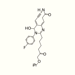 C#C/C=C1\C(=C/CC(N)=O)N=C(CCCCC(=O)COC(C)C)N(c2ccc(F)cc2)C1O